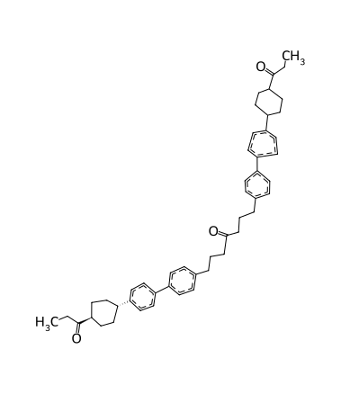 CCC(=O)C1CCC(c2ccc(-c3ccc(CCCC(=O)CCCc4ccc(-c5ccc([C@H]6CC[C@H](C(=O)CC)CC6)cc5)cc4)cc3)cc2)CC1